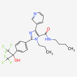 CCCCNC(=O)c1c(-c2cccnc2)nc(-c2ccc(C(O)(C(F)(F)F)C(F)(F)F)cc2)n1CCC